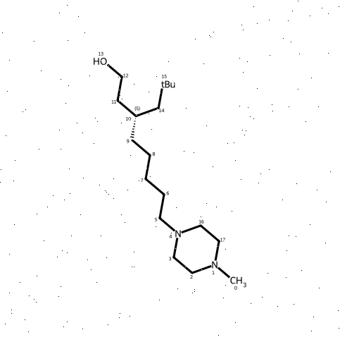 CN1CCN(CCCCC[C@H](CCO)CC(C)(C)C)CC1